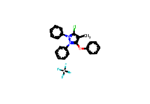 Cc1c(Cl)n(-c2ccccc2)[n+](-c2ccccc2)c1Oc1ccccc1.F[B-](F)(F)F